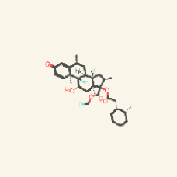 C[C@@H]1CCCC[C@@H]1CC(=O)O[C@]1(C(=O)OCF)[C@H](C)C[C@H]2[C@@H]3C[C@H](C)C4=CC(=O)C=C[C@]4(C)[C@@]3(F)[C@@H](O)C[C@@]21C